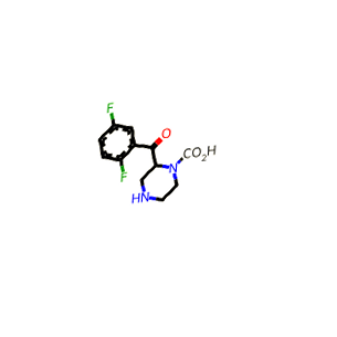 O=C(c1cc(F)ccc1F)C1CNCCN1C(=O)O